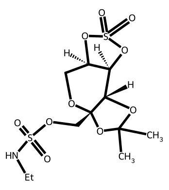 CCNS(=O)(=O)OC[C@@]12OC[C@H]3OS(=O)(=O)O[C@H]3[C@@H]1OC(C)(C)O2